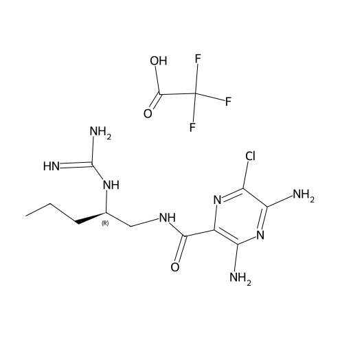 CCC[C@H](CNC(=O)c1nc(Cl)c(N)nc1N)NC(=N)N.O=C(O)C(F)(F)F